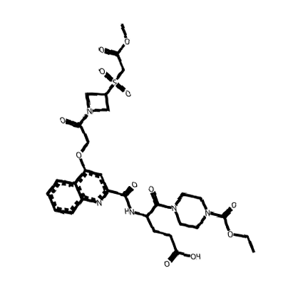 CCOC(=O)N1CCN(C(=O)C(CCC(=O)O)NC(=O)c2cc(OCC(=O)N3CC(S(=O)(=O)CC(=O)OC)C3)c3ccccc3n2)CC1